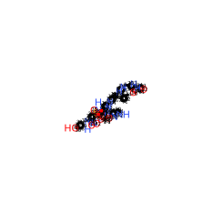 COc1cc(CN2CCN(C3CC4(CCN(c5ccc(C(=O)NS(=O)(=O)c6ccc(NC[C@H]7CC[C@](C)(O)CC7)c([N+](=O)[O-])c6)c(N6c7cc8cc[nH]c8nc7O[C@H]7COCC[C@@H]76)n5)CC4)C3)[C@H](c3ccccc3C)C2)cnc1N1CCOCC1